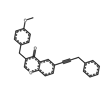 COc1ccc(Cc2coc3ccc(C#CCc4ccccc4)cc3c2=O)cc1